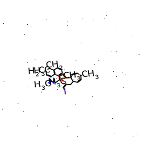 C=C/C=C(\c1cc(C)ccc1C(=C)C)N(C)Cc1ccc(C2C=C[C@@H](C)C=CC2C/C(C)=C\I)s1